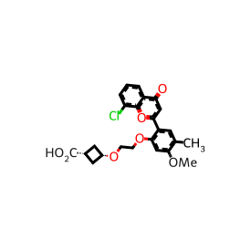 COc1cc(OCCO[C@H]2C[C@@H](C(=O)O)C2)c(-c2cc(=O)c3cccc(Cl)c3o2)cc1C